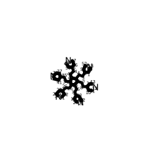 c1cc(CCc2c(CCc3ccncc3)c(CCc3ccncc3)c(CCc3ccncc3)c(CCc3ccncc3)c2CCc2ccncc2)ccn1